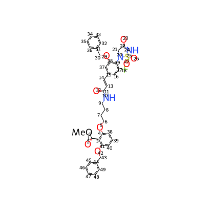 COC(=O)c1c(OCCCCNC(=O)C=Cc2cc(F)c(N3CC(=O)NS3(=O)=O)c(OCc3ccccc3)c2)cccc1OCc1ccccc1